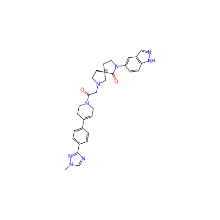 Cn1cnc(-c2ccc(C3=CCN(C(=O)CN4CC[C@]5(CCN(c6ccc7[nH]ncc7c6)C5=O)C4)CC3)cc2)n1